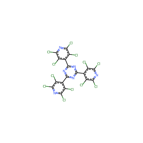 Clc1nc(Cl)c(Cl)c(-c2nc(-c3c(Cl)c(Cl)nc(Cl)c3Cl)nc(-c3c(Cl)c(Cl)nc(Cl)c3Cl)n2)c1Cl